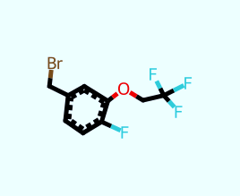 Fc1ccc(CBr)cc1OCC(F)(F)F